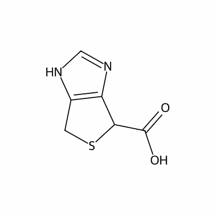 O=C(O)C1SCc2[nH]cnc21